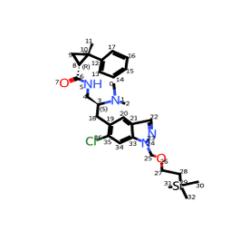 CN(C)[C@H](CNC(=O)[C@@H]1C[C@]1(C)c1ccccc1)Cc1cc2cnn(COCC[Si](C)(C)C)c2cc1Cl